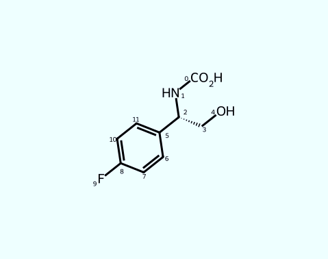 O=C(O)N[C@H](CO)c1ccc(F)cc1